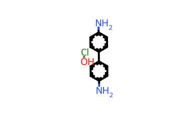 Nc1ccc(-c2ccc(N)cc2)cc1.OCl